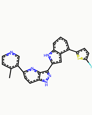 Cc1ccncc1-c1ccc2[nH]nc(-c3cc4c(-c5ccc(F)s5)cccc4[nH]3)c2n1